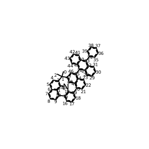 CC1(C)c2ccc3cccc4c3c2N2c3c-4cccc3-c3cccc4c(-c5c6ccccc6c(-c6ccccc6)c6ccccc56)cc1c2c34